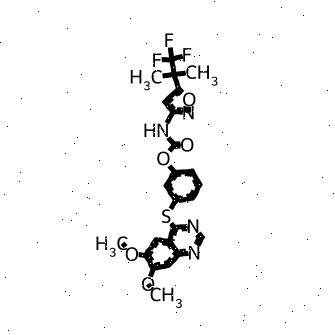 COc1cc2ncnc(Sc3cccc(OC(=O)Nc4cc(C(C)(C)C(F)(F)F)on4)c3)c2cc1OC